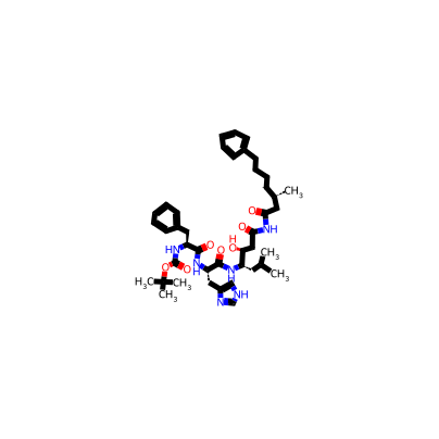 CC(C)C[C@H](NC(=O)[C@H](Cc1c[nH]cn1)NC(=O)[C@H](Cc1ccccc1)NC(=O)OC(C)(C)C)[C@@H](O)CC(=O)NC(=O)C[C@@H](C)[CH]CCCc1ccccc1